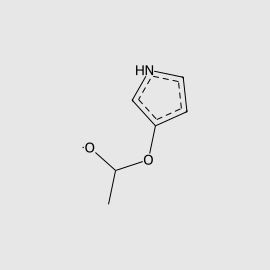 CC([O])Oc1cc[nH]c1